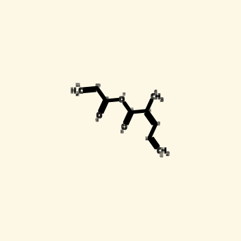 C=CC=C(C)C(=O)OC(=O)C=C